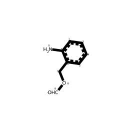 Nc1ccccc1CO[C]=O